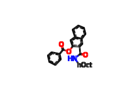 CCCCCCCCNC(=O)c1cc2ccccc2cc1OC(=O)c1ccccc1